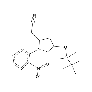 CC(C)(C)[Si](C)(C)OC1CC(CC#N)N(c2ccccc2[N+](=O)[O-])C1